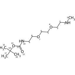 CNCCOCCOCCNC(=O)OC(C)(C)C